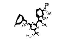 Cc1[nH]c2c(B(O)O)cccc2c1-c1nc(NCc2cccc(F)c2)nc(C(N)=O)n1